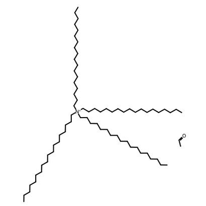 CC=O.CCCCCCCCCCCCCCCCCC[N+](CCCCCCCCCCCCCCCCCC)(CCCCCCCCCCCCCCCCCC)CCCCCCCCCCCCCCCCCC